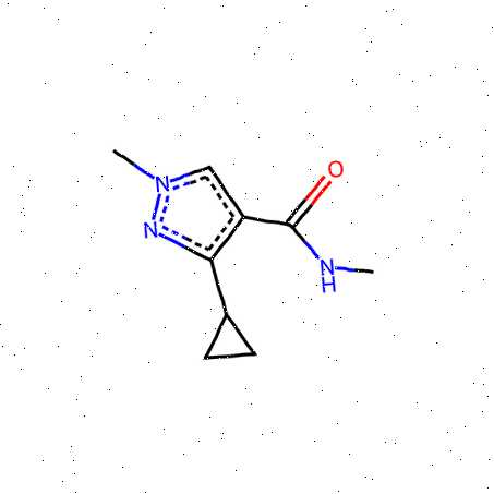 CNC(=O)c1cn(C)nc1C1CC1